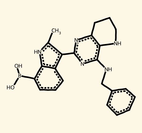 Cc1[nH]c2c(B(O)O)cccc2c1-c1nc2c(c(NCc3ccccc3)n1)NCCC2